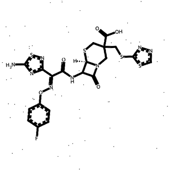 Nc1nc(C(=NOc2ccc(F)cc2)C(=O)NC2C(=O)N3CC(CSc4nncs4)(C(=O)O)CS[C@H]23)ns1